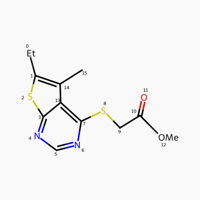 CCc1sc2ncnc(SCC(=O)OC)c2c1C